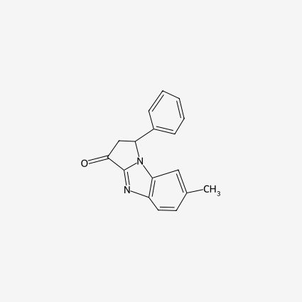 Cc1ccc2nc3n(c2c1)C(c1ccccc1)CC3=O